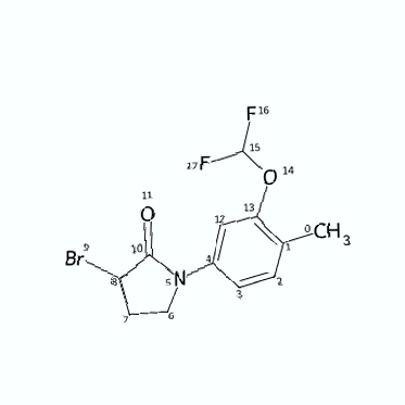 Cc1ccc(N2CCC(Br)C2=O)cc1OC(F)F